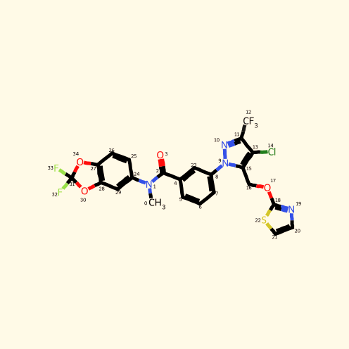 CN(C(=O)c1cccc(-n2nc(C(F)(F)F)c(Cl)c2COc2nccs2)c1)c1ccc2c(c1)OC(F)(F)O2